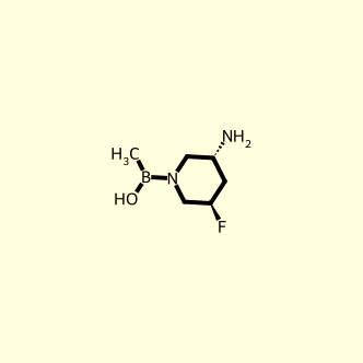 CB(O)N1C[C@H](N)C[C@@H](F)C1